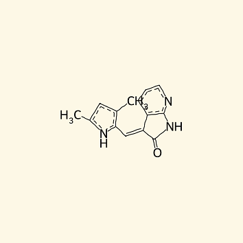 Cc1cc(C)c(C=C2C(=O)Nc3ncccc32)[nH]1